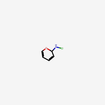 ClNC1C=CC=CO1